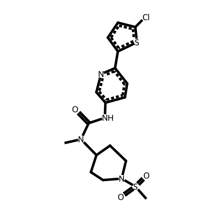 CN(C(=O)Nc1ccc(-c2ccc(Cl)s2)nc1)C1CCN(S(C)(=O)=O)CC1